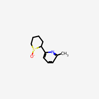 Cc1cccc(C2CCCC[S+]2[O-])n1